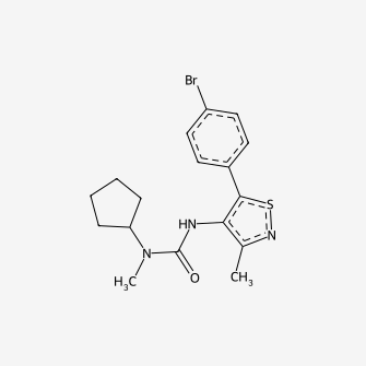 Cc1nsc(-c2ccc(Br)cc2)c1NC(=O)N(C)C1CCCC1